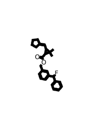 CC1(C)C(C=C2CCCC2)C1C(=O)OCc1cccc(C(F)c2ccccc2)c1